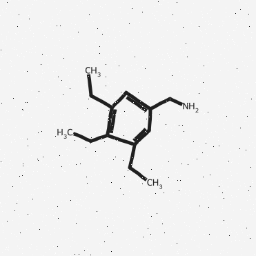 C[CH]c1c(CC)cc(CN)cc1CC